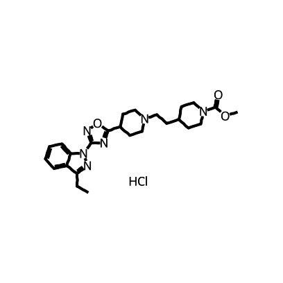 CCc1nn(-c2noc(C3CCN(CCC4CCN(C(=O)OC)CC4)CC3)n2)c2ccccc12.Cl